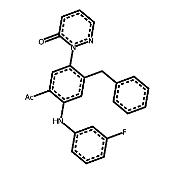 CC(=O)c1cc(-n2ncccc2=O)c(Cc2ccccc2)cc1Nc1cccc(F)c1